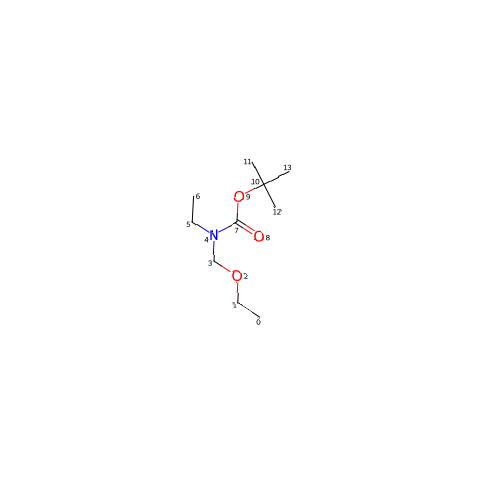 CCOCN(CC)C(=O)OC(C)(C)C